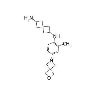 Cc1cc(N2CC3(COC3)C2)ccc1NC1CC2(CC(N)C2)C1